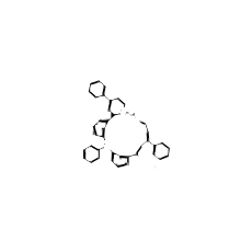 C\C1=C/C(c2ccccc2)=C\C=N\ON2C=CC(c3ccccc3)=CC2(C)c2cccc(c2C)N(c2ccccc2)c2cccc1c2C